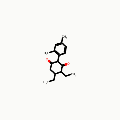 CCC1CC(=O)C(c2ccc(C)cc2C)C(=O)C1CC